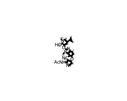 CC(=O)Nc1cc(Oc2ccc3nc(OC4=CC(C5CC5)=CN(C)C4O)n(C)c3c2C#N)ccn1